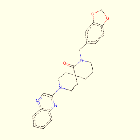 O=C1N(Cc2ccc3c(c2)OCO3)CCCC12CCN(c1cnc3ccccc3n1)CC2